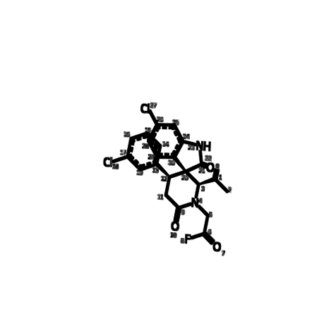 C=C(C)[C@H]1N(CC(=O)F)C(=O)C[C@@H](c2cccc(Cl)c2)[C@]12C(=O)Nc1cc(Cl)ccc12